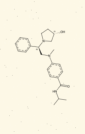 CC(C)NC(=O)c1ccc(N(C)C[C@@H](c2ccccc2)N2CC[C@H](O)C2)cc1